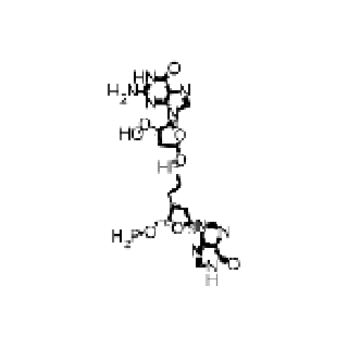 Nc1nc2c(ncn2[C@@H]2OC(OPCC[C@H]3C[C@H](n4cnc5c(=O)[nH]cnc54)O[C@@H]3COP)C[C@H]2OO)c(=O)[nH]1